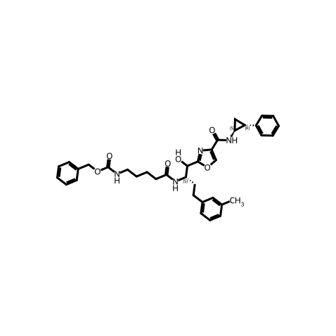 Cc1cccc(CC[C@H](NC(=O)CCCCNC(=O)OCc2ccccc2)C(O)c2nc(C(=O)N[C@H]3C[C@@H]3c3ccccc3)co2)c1